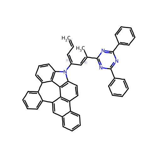 C=C/C=C(\C=C(/C)c1nc(-c2ccccc2)nc(-c2ccccc2)n1)n1c2cccc3c2c2c4c(cc5ccccc5c4ccc21)-c1ccccc1-3